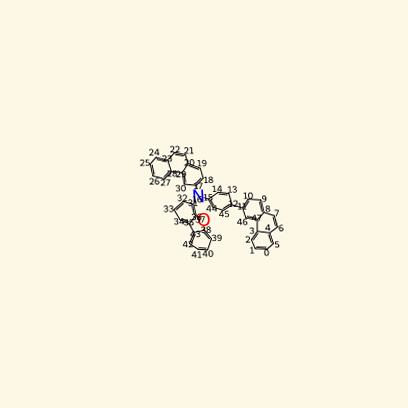 c1ccc2c(c1)ccc1ccc(-c3ccc(N(c4ccc5ccc6ccccc6c5c4)c4cccc5c4oc4ccccc45)cc3)cc12